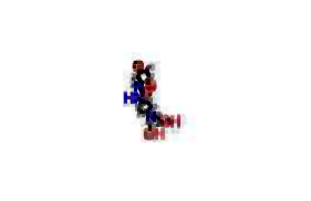 CC1=CC(=O)C(N(C)C(=O)Nc2ccc(N(CCO)CCO)cc2)=CC1=O